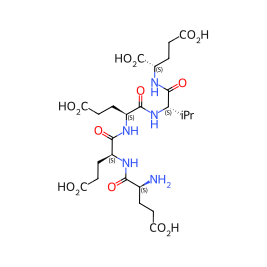 CC(C)[C@H](NC(=O)[C@H](CCC(=O)O)NC(=O)[C@H](CCC(=O)O)NC(=O)[C@@H](N)CCC(=O)O)C(=O)N[C@@H](CCC(=O)O)C(=O)O